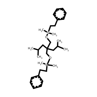 CC(C)CC(CO[Si](C)(C)CCc1ccccc1)(CO[Si](C)(C)CCc1ccccc1)CC(C)C